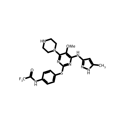 COc1c(Nc2cc(C)[nH]n2)nc(Sc2ccc(NC(=O)C(F)(F)F)cc2)nc1N1CCNCC1